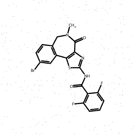 CN1Cc2ccc(Br)cc2-c2sc(NC(=O)c3c(F)cccc3F)nc2C1=O